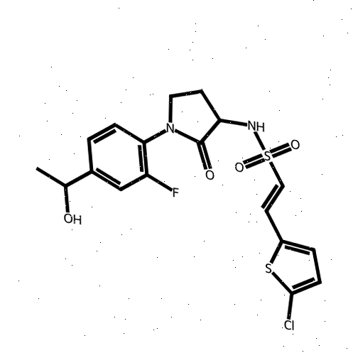 CC(O)c1ccc(N2CCC(NS(=O)(=O)C=Cc3ccc(Cl)s3)C2=O)c(F)c1